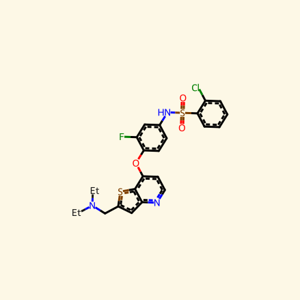 CCN(CC)Cc1cc2nccc(Oc3ccc(NS(=O)(=O)c4ccccc4Cl)cc3F)c2s1